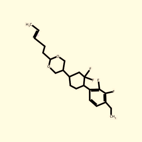 C/C=C/CCC1OCC(C2CCC(c3ccc(CC)c(F)c3F)C(F)(F)C2)CO1